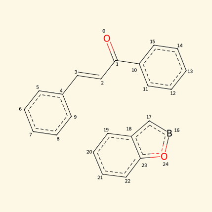 O=C(C=Cc1ccccc1)c1ccccc1.b1cc2ccccc2o1